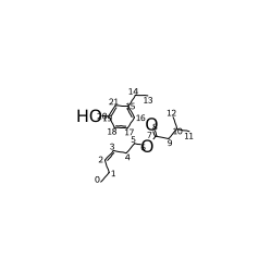 CC/C=C\CCOC(=O)CC(C)C.CCc1cccc(O)c1